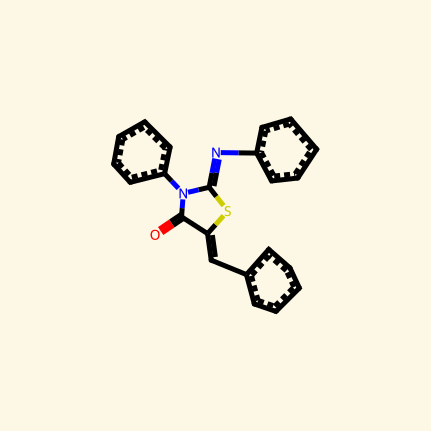 O=C1C(=Cc2ccccc2)SC(=Nc2ccccc2)N1c1ccccc1